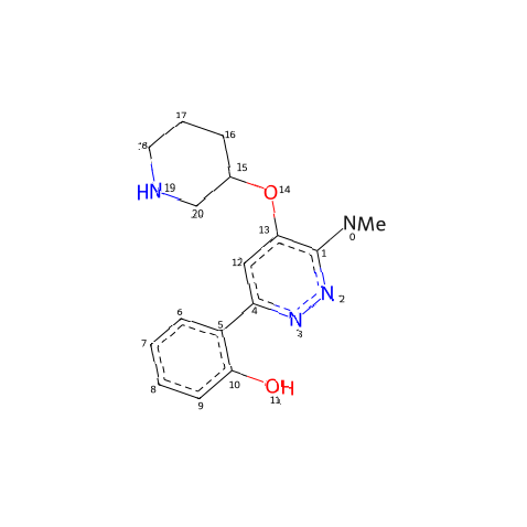 CNc1nnc(-c2ccccc2O)cc1OC1CCCNC1